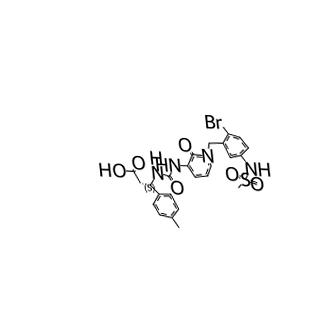 Cc1ccc([C@H](CC(=O)O)NC(=O)Nc2cccn(Cc3cc(NS(C)(=O)=O)ccc3Br)c2=O)cc1